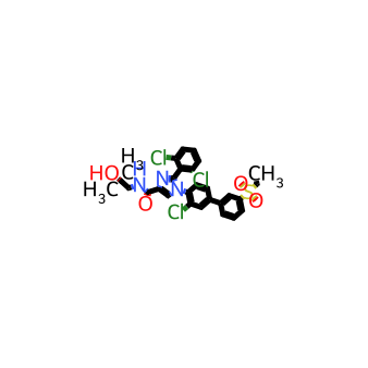 CCS(=O)(=O)c1cccc(-c2ccc(-n3cc(C(=O)NCC(C)(C)O)nc3-c3c(Cl)cccc3Cl)c(Cl)c2)c1